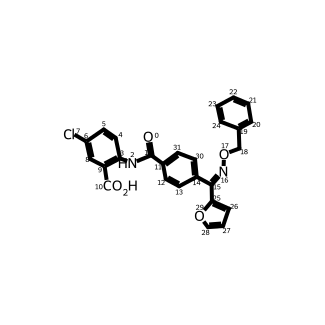 O=C(Nc1ccc(Cl)cc1C(=O)O)c1ccc(/C(=N\OCc2ccccc2)c2ccco2)cc1